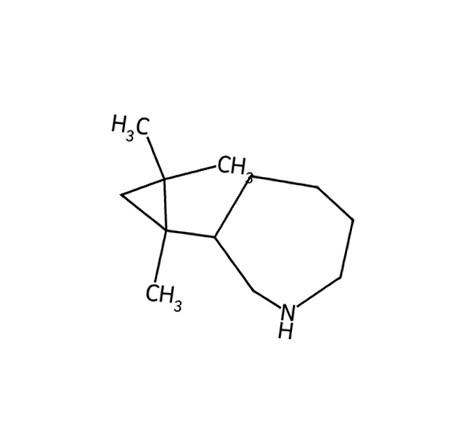 CC1(C)CC1(C)C1CCCCNC1